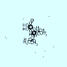 CC(C)(C)Nc1cc(COC(=O)C(C)(C)C)ccc1O[C@@H]1C[C@H](OC=O)[C@@H](O)[C@H](O)[C@H]1O